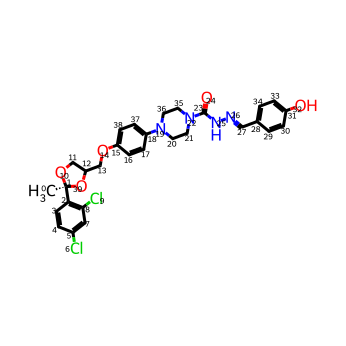 C[C@]1(c2ccc(Cl)cc2Cl)OCC(COc2ccc(N3CCN(C(=O)N/N=C/c4ccc(O)cc4)CC3)cc2)O1